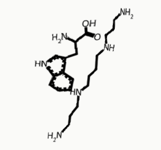 NC(Cc1c[nH]c2ccccc12)C(=O)O.NCCCNCCCCNCCCN